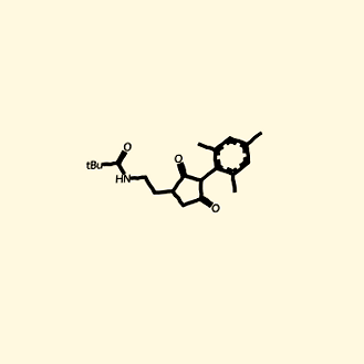 Cc1cc(C)c(C2C(=O)CC(CCNC(=O)C(C)(C)C)C2=O)c(C)c1